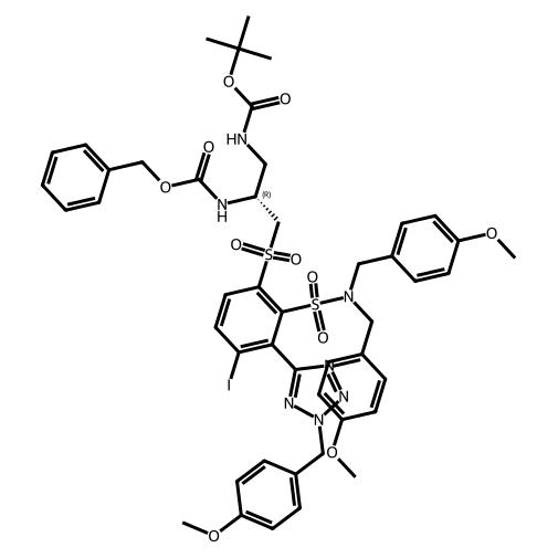 COc1ccc(CN(Cc2ccc(OC)cc2)S(=O)(=O)c2c(S(=O)(=O)C[C@@H](CNC(=O)OC(C)(C)C)NC(=O)OCc3ccccc3)ccc(I)c2-c2nnn(Cc3ccc(OC)cc3)n2)cc1